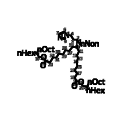 CCCCCCCCCN(CCCn1ccnc1)C(CCCCCCCCC(=O)OCC(CCCCCC)CCCCCCCC)CCCCCCCCC(=O)OCC(CCCCCC)CCCCCCCC